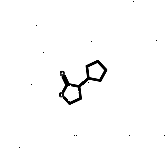 O=C1OCCC1C1CCCC1